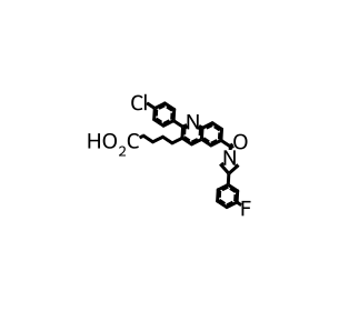 O=C(O)CCCCc1cc2cc(C(=O)N3CC(c4cccc(F)c4)C3)ccc2nc1-c1ccc(Cl)cc1